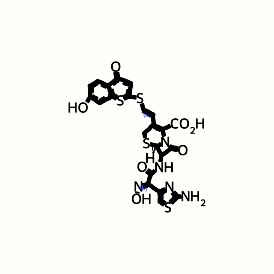 Nc1nc(/C(=N\O)C(=O)NC2C(=O)N3C(C(=O)O)=C(/C=C/Sc4cc(=O)c5ccc(O)cc5s4)CS[C@H]23)cs1